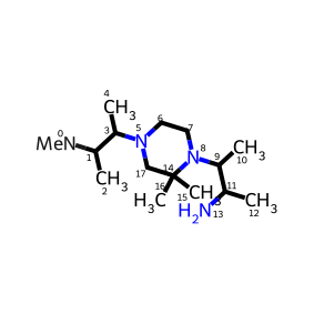 CNC(C)C(C)N1CCN(C(C)C(C)N)C(C)(C)C1